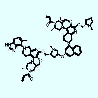 C=CC(=O)N1C[C@@H]2COc3c(OC[C@@H]4CCCN4C)nc4c(c3N2C[C@H]1C)CCN(c1cc(OC2C[C@@H](COc3nc5c(c6c3OC[C@H]3CN(C(=O)C=C)[C@H](C)CN63)CCN(c3c(C)ccc6[nH]cnc36)C5)N(C)C2)cc2ccccc12)C4